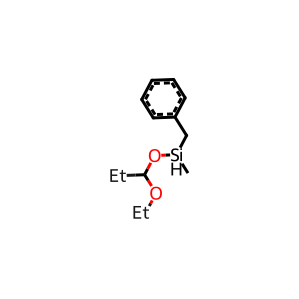 CCOC(CC)O[SiH](C)Cc1ccccc1